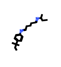 CCC(C)/N=C/CCC/C=N/c1ccc(C(C)(C)CC)cc1